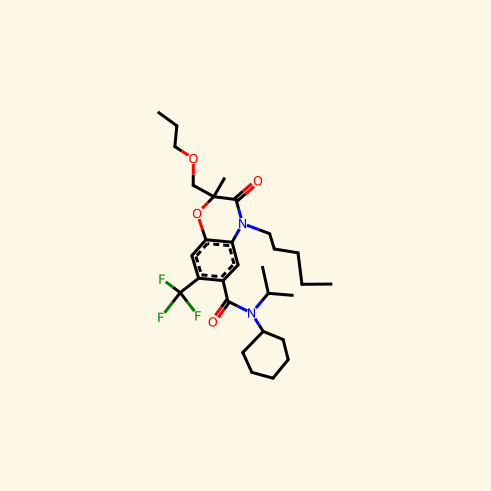 CCCCCN1C(=O)C(C)(COCCC)Oc2cc(C(F)(F)F)c(C(=O)N(C(C)C)C3CCCCC3)cc21